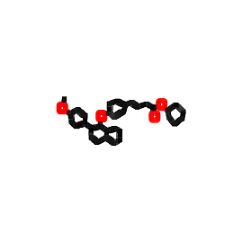 COc1ccc(-c2ccc3ccccc3c2Oc2ccc(C=CCC(=O)OC3CCCCC3)cc2)cc1